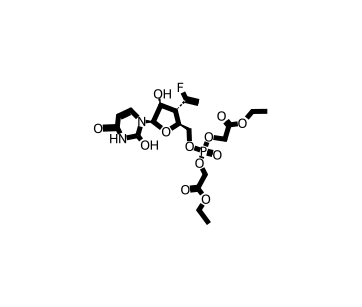 C=C(F)[C@H]1[C@@H](O)[C@H](N2C=CC(=O)NC2O)O[C@@H]1COP(=O)(OCC(=O)OCC)OCC(=O)OCC